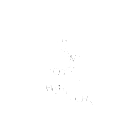 CC(N)C[S+]([O-])N=C=O